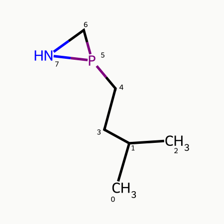 CC(C)CCP1CN1